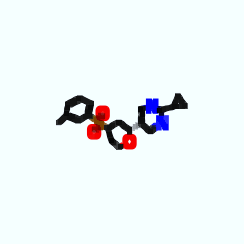 Cc1cccc(S(=O)(=O)C2CCO[C@@H](c3cnc(C4CC4)nc3)C2)c1